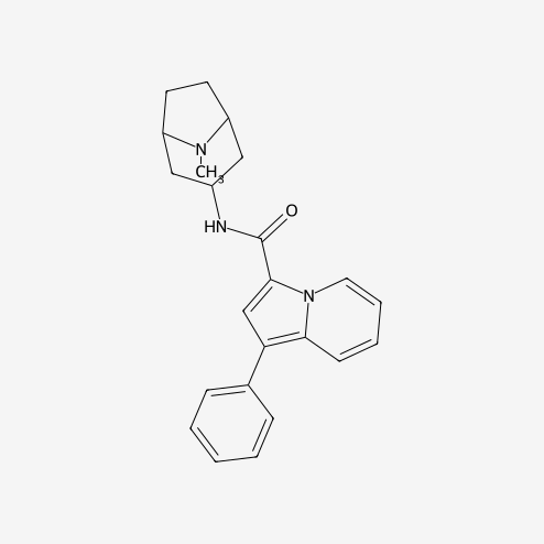 CN1C2CCC1CC(NC(=O)c1cc(-c3ccccc3)c3ccccn13)C2